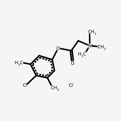 Cc1cc(OC(=O)C[N+](C)(C)C)cc(C)c1Cl.[Cl-]